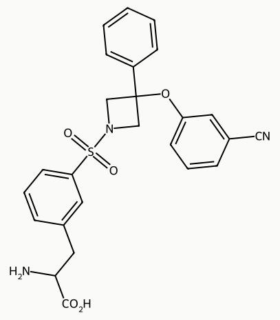 N#Cc1cccc(OC2(c3ccccc3)CN(S(=O)(=O)c3cccc(CC(N)C(=O)O)c3)C2)c1